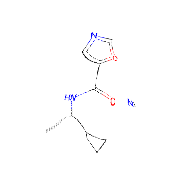 C[C@H](NC(=O)c1cnco1)C1CC1.[N]